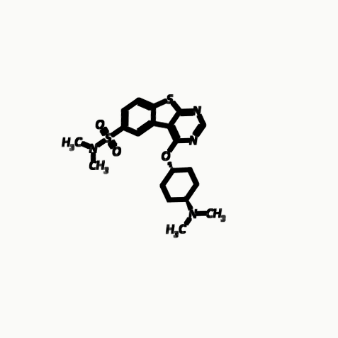 CN(C)S(=O)(=O)c1ccc2sc3ncnc(O[C@H]4CC[C@H](N(C)C)CC4)c3c2c1